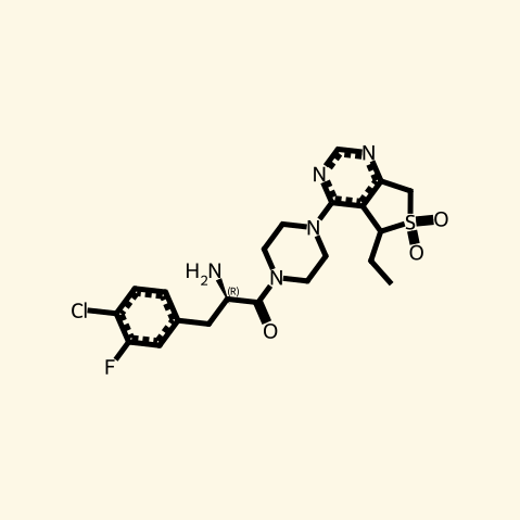 CCC1c2c(ncnc2N2CCN(C(=O)[C@H](N)Cc3ccc(Cl)c(F)c3)CC2)CS1(=O)=O